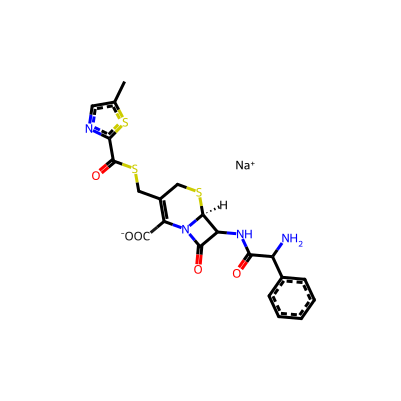 Cc1cnc(C(=O)SCC2=C(C(=O)[O-])N3C(=O)C(NC(=O)C(N)c4ccccc4)[C@@H]3SC2)s1.[Na+]